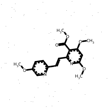 COC(=O)c1c(OC)cc(OC)nc1C=Cc1ccc(OC)cn1